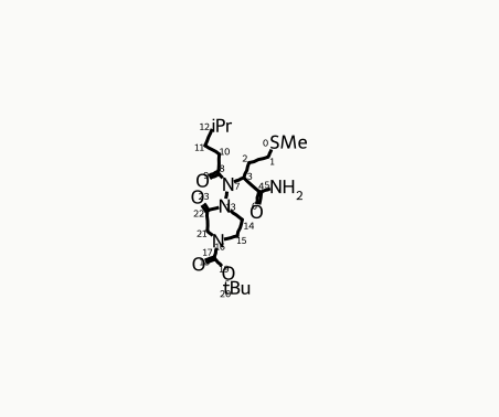 CSCCC(C(N)=O)N(C(=O)CCC(C)C)N1CCN(C(=O)OC(C)(C)C)CC1=O